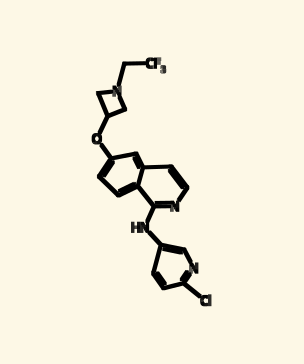 FC(F)(F)CN1CC(Oc2ccc3c(Nc4ccc(Cl)nc4)nccc3c2)C1